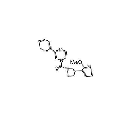 COc1ncccc1C1CCN(C(=O)N2C=COC(C3=CC=CCC3)=C2)C1